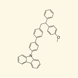 COc1ccc(C(Cc2ccc(-c3ccc(-n4c5ccccc5c5ccccc54)cc3)cc2)c2ccccc2)cc1